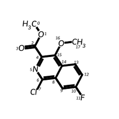 COC(=O)c1nc(Cl)c2cc(F)ccc2c1OC